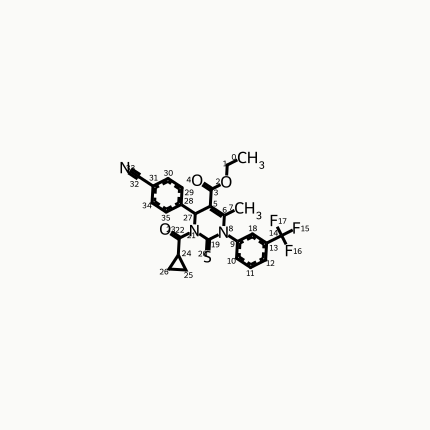 CCOC(=O)C1=C(C)N(c2cccc(C(F)(F)F)c2)C(=S)N(C(=O)C2CC2)C1c1ccc(C#N)cc1